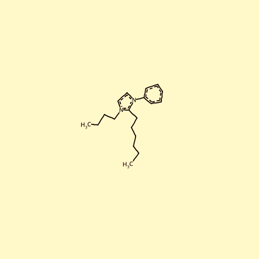 CCCCCCc1n(-c2ccccc2)cc[n+]1CCCC